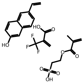 C=C(C(=O)O)C(F)(F)F.C=C(C)C(=O)OCCS(=O)(=O)O.C=Cc1ccc2cc(O)ccc2c1